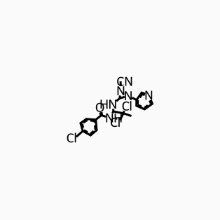 CC(Cl)(Cl)C(NC(=O)c1ccc(Cl)cc1)NC1N(C#N)N1c1cccnc1